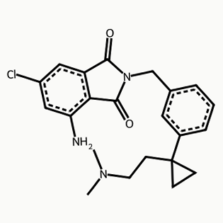 CN(C)CCC1(c2cccc(CN3C(=O)c4cc(Cl)cc(N)c4C3=O)c2)CC1